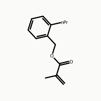 C=C(C)C(=O)OCc1ccccc1CCC